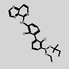 CCOB(OC(C)(C)CC)c1cccc(-c2cccc(Nc3nccc4nccnc34)c2Cl)c1Cl